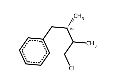 CC(CCl)[C@@H](C)Cc1ccccc1